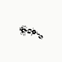 Cn1nnc2c(=O)[nH]c(N3CCN(c4c(F)cc(OCCN5CCOCC5)cc4F)CC3)cc21